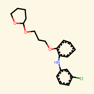 Clc1[c]ccc(Nc2ccccc2OCCCOC2CCCCO2)c1